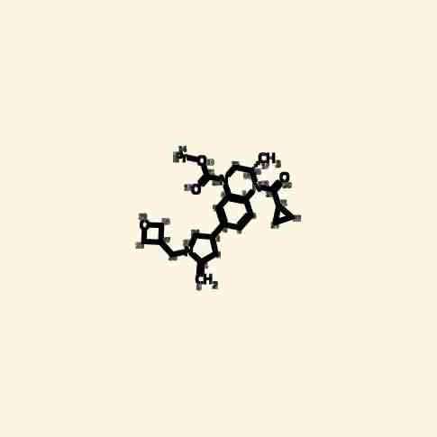 C=C1CC(c2ccc3c(c2)N(C(=O)OC(C)C)C[C@H](C)N3C(=O)C2CC2)CN1CC1COC1